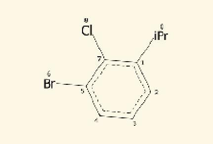 [CH2]C(C)c1cccc(Br)c1Cl